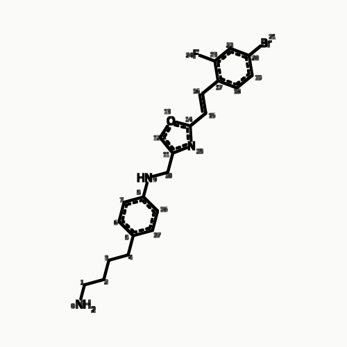 NCCCCc1ccc(NCc2coc(/C=C/c3ccc(Br)cc3F)n2)cc1